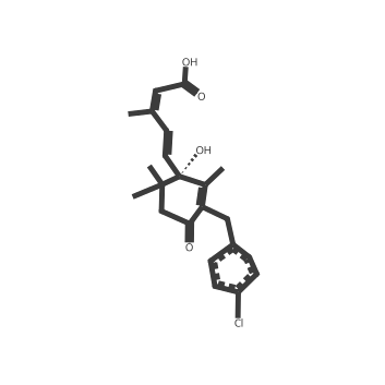 CC1=C(Cc2ccc(Cl)cc2)C(=O)CC(C)(C)[C@@]1(O)/C=C/C(C)=C\C(=O)O